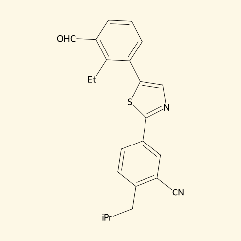 CCc1c(C=O)cccc1-c1cnc(-c2ccc(CC(C)C)c(C#N)c2)s1